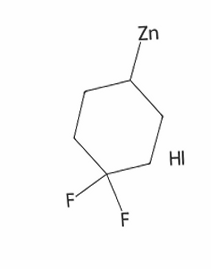 FC1(F)CC[CH]([Zn])CC1.I